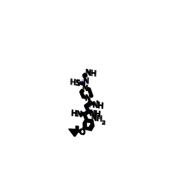 CN/C(=C\C(=N)C(=N)c1cc(OC2(C)CC2)ccc1N)N1CCN(/C(S)=N/C=N)CC1